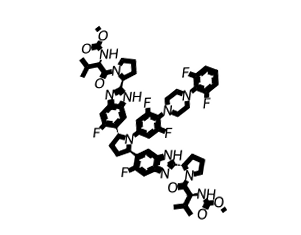 COC(=O)N[C@H](C(=O)N1CCC[C@H]1c1nc2cc(F)c([C@H]3CC[C@H](c4cc5[nH]c([C@@H]6CCCN6C(=O)[C@@H](NC(=O)OC)C(C)C)nc5cc4F)N3c3cc(F)c(N4CCN(c5c(F)cccc5F)CC4)c(F)c3)cc2[nH]1)C(C)C